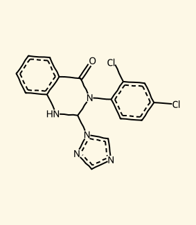 O=C1c2ccccc2NC(n2cncn2)N1c1ccc(Cl)cc1Cl